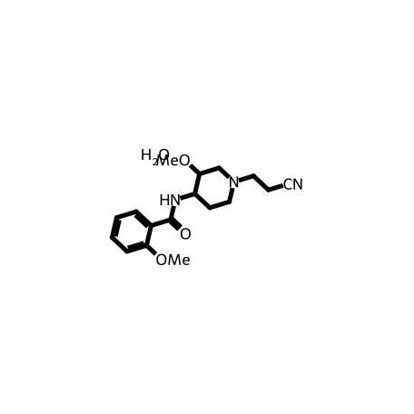 COc1ccccc1C(=O)NC1CCN(CCC#N)CC1OC.O